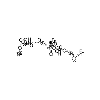 Cc1ncsc1-c1ccc(CNC(=O)[C@@H]2CCCN2C(=O)[C@@H](NC(=O)CCCCC(=O)N2CCN(CC[C@H](CSc3ccccc3)Nc3ccc(S(=O)(=O)NC(=O)c4ccc(N5CCN(CC6=C(C78CC(C(F)F)(C7)C8)CC(C)(C)CC6)CC5)cc4)cc3S(=O)(=O)C(F)(F)F)CC2)C(C)(C)C)cc1